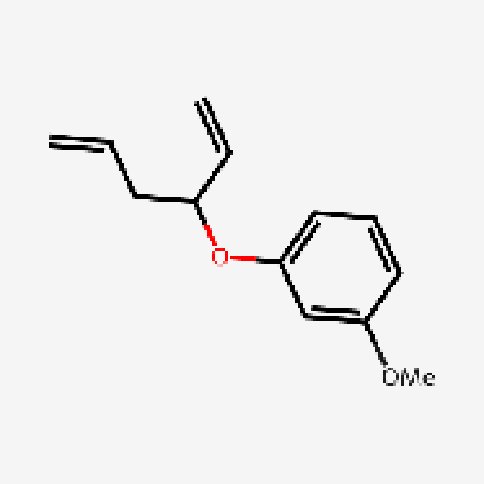 C=CCC(C=C)Oc1cccc(OC)c1